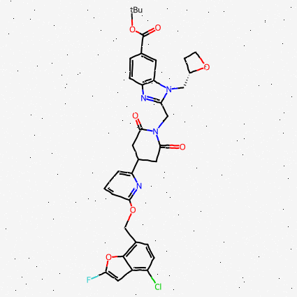 CC(C)(C)OC(=O)c1ccc2nc(CN3C(=O)CC(c4cccc(OCc5ccc(Cl)c6cc(F)oc56)n4)CC3=O)n(C[C@@H]3CCO3)c2c1